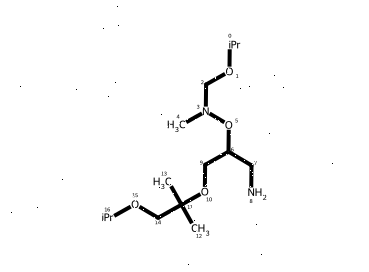 CC(C)OCN(C)OC(CN)COC(C)(C)COC(C)C